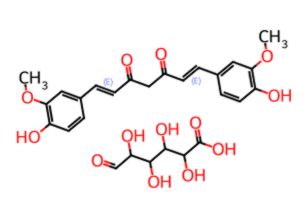 COc1cc(/C=C/C(=O)CC(=O)/C=C/c2ccc(O)c(OC)c2)ccc1O.O=CC(O)C(O)C(O)C(O)C(=O)O